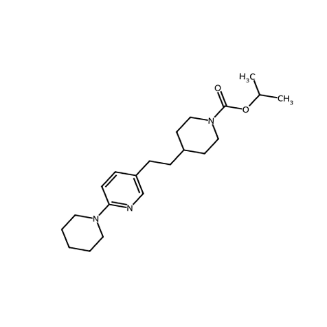 CC(C)OC(=O)N1CCC(CCc2ccc(N3CCCCC3)nc2)CC1